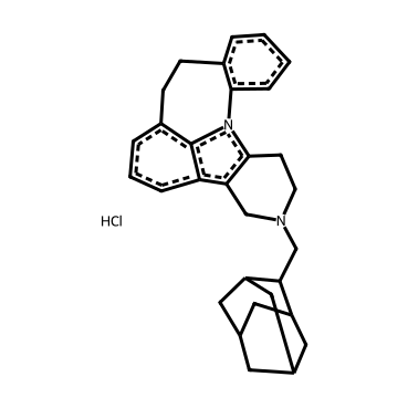 Cl.c1ccc2c(c1)CCc1cccc3c4c(n-2c13)CCN(CC1C2CC3CC(C2)CC1C3)C4